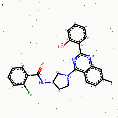 Cc1ccc2c(N3CC[C@@H](NC(=O)c4ccccc4F)C3)nc(-c3ccccc3O)nc2c1